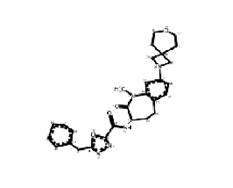 CN1C(=O)[C@@H](NC(=O)c2nnc(Cc3ccccc3)o2)CCc2ccc(N3CC4(CCOCC4)C3)cc21